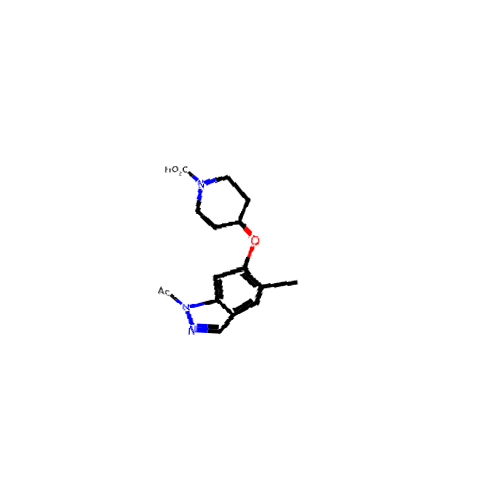 CC(=O)n1ncc2cc(C)c(OC3CCN(C(=O)O)CC3)cc21